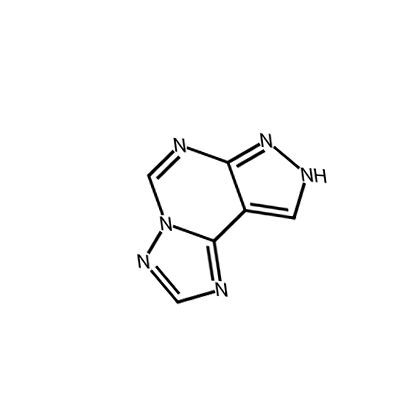 c1nc2c3c[nH]nc3ncn2n1